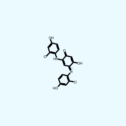 O=C1C=C(O)/C(=N/c2ccc(O)cc2Cl)C=C1Nc1ccc(O)cc1Cl